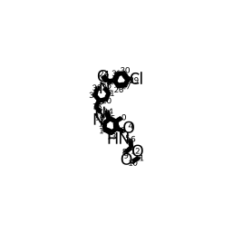 Cc1c(C(=O)NCC2COCCO2)ccc2nn(CC3CCN(C(=O)c4ccc(Cl)cc4)CC3)cc12